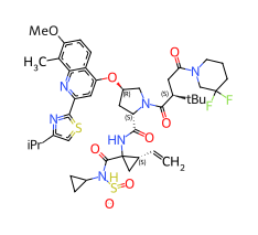 C=C[C@@H]1CC1(NC(=O)[C@@H]1C[C@@H](Oc2cc(-c3nc(C(C)C)cs3)nc3c(C)c(OC)ccc23)CN1C(=O)[C@@H](CC(=O)N1CCCC(F)(F)C1)C(C)(C)C)C(=O)N(C1CC1)[SH](=O)=O